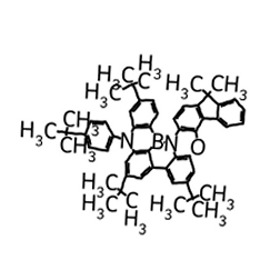 CC(C)(C)c1ccc(N2c3cc(C(C)(C)C)ccc3B3c4c(cc(C(C)(C)C)cc42)-c2cc(C(C)(C)C)cc4c2N3c2ccc3c(c2O4)-c2ccccc2C3(C)C)cc1